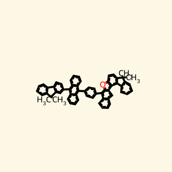 CC1(C)c2ccccc2-c2ccc(-c3c4ccccc4c(-c4ccc(-c5c6ccccc6cc6c5oc5ccc7c(c56)-c5ccccc5C7(C)C)cc4)c4ccccc34)cc21